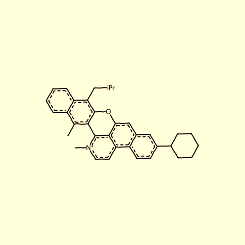 Cc1c2c(c(CC(C)C)c3ccccc13)Oc1cc3cc(C4CCCCC4)ccc3c3cc[n+](C)c-2c13